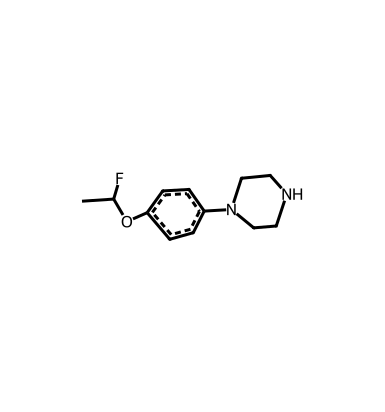 CC(F)Oc1ccc(N2CCNCC2)cc1